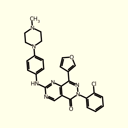 CN1CCN(c2ccc(Nc3ncc4c(=O)n(-c5ccccc5Cl)nc(-c5ccoc5)c4n3)cc2)CC1